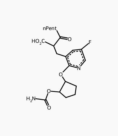 CCCCCC(=O)C(Cc1cc(F)cnc1OC1CCCC1OC(N)=O)C(=O)O